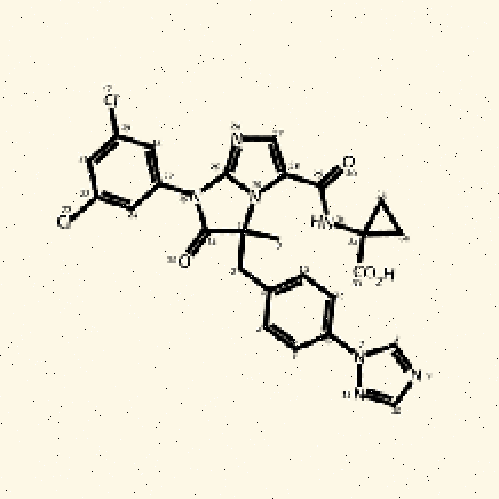 CC1(Cc2ccc(-n3cncn3)cc2)C(=O)N(c2cc(Cl)cc(Cl)c2)c2ncc(C(=O)NC3(C(=O)O)CC3)n21